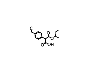 CCC(C)OC(=O)C(C(=O)O)c1ccc(CCl)cc1